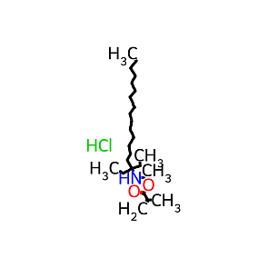 C=C(C)C(=O)OC(C)NC(CC)(CC)CCCCCCCCCCCCCCC.Cl